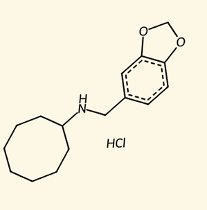 Cl.c1cc2c(cc1CNC1CCCCCCC1)OCO2